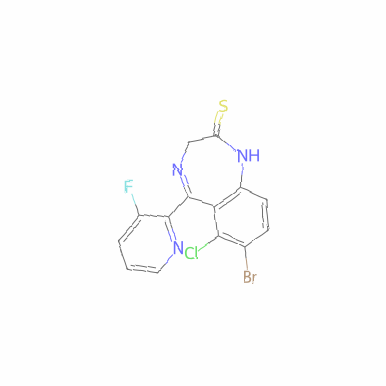 Fc1cccnc1C1=NCC(=S)Nc2ccc(Br)c(Cl)c21